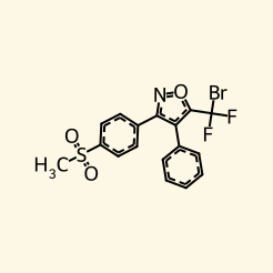 CS(=O)(=O)c1ccc(-c2noc(C(F)(F)Br)c2-c2ccccc2)cc1